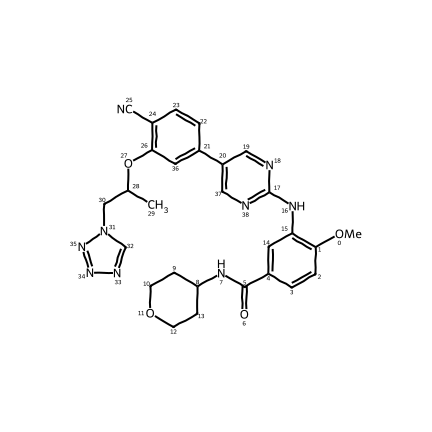 COc1ccc(C(=O)NC2CCOCC2)cc1Nc1ncc(-c2ccc(C#N)c(OC(C)Cn3cnnn3)c2)cn1